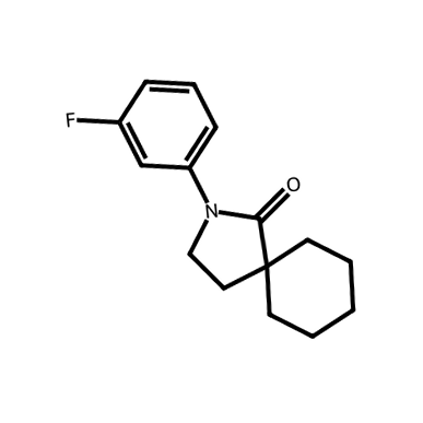 O=C1N(c2cccc(F)c2)CCC12CCCCC2